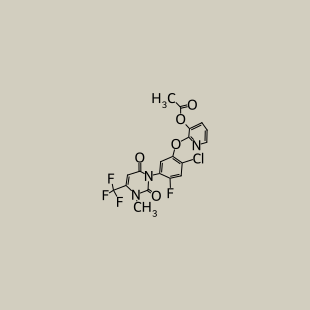 CC(=O)Oc1cccnc1Oc1cc(-n2c(=O)cc(C(F)(F)F)n(C)c2=O)c(F)cc1Cl